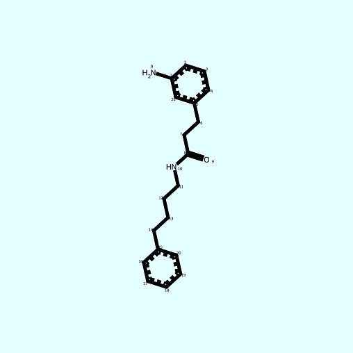 Nc1cccc(CCC(=O)NCCCCc2ccccc2)c1